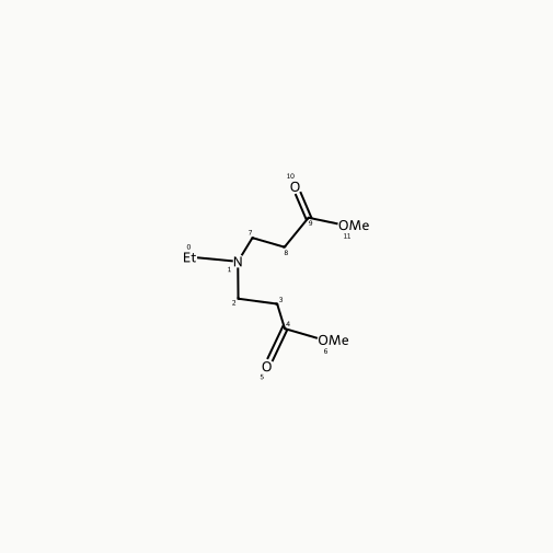 CCN(CCC(=O)OC)CCC(=O)OC